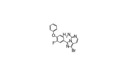 Nc1nccc2c(Br)nc(-c3ccc(Oc4ccccc4)c(F)c3)n12